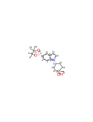 CC1(C)OB(c2ccc3c(ccn3[C@H]3CC[C@@](C)(O)CC3)c2)OC1(C)C